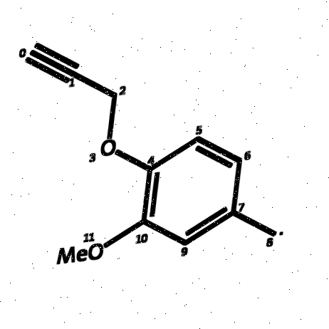 C#CCOc1ccc([CH2])cc1OC